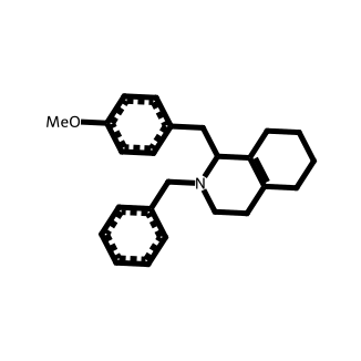 COc1ccc(CC2C3=C(CCCC3)CCN2Cc2ccccc2)cc1